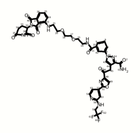 NC(=O)c1nn(-c2cccc(C(=O)NCCOCCOCCNc3cccc4c3C(=O)N(C3CCC(=O)NC3=O)C4=O)c2)cc1CC(=O)c1coc(-c2ccnc(NCC(F)(F)F)c2)n1